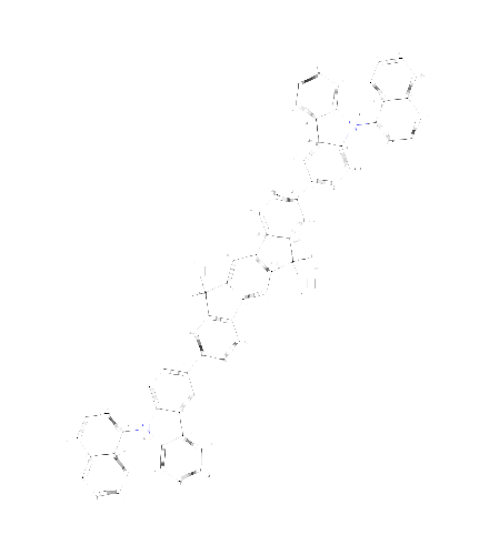 CC1(C)c2cc(-c3ccc4c(c3)c3ccccc3n4-c3cccc4ccccc34)ccc2-c2cc3c(cc21)-c1ccc(-c2ccc4c(c2)c2ccccc2n4-c2cccc4ccccc24)cc1C3(C)C